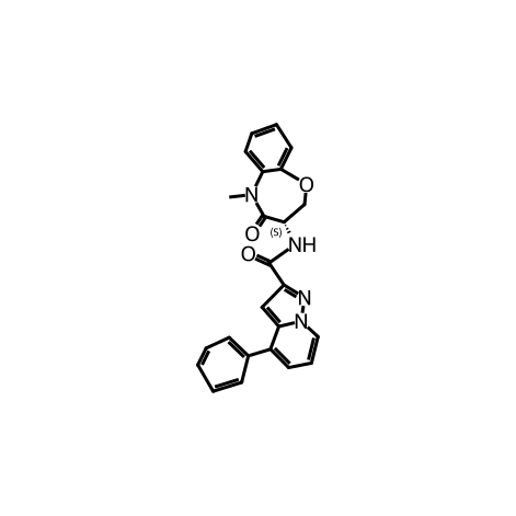 CN1C(=O)[C@@H](NC(=O)c2cc3c(-c4ccccc4)cccn3n2)COc2ccccc21